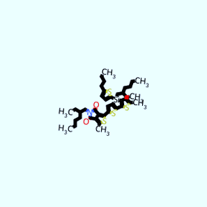 CCCCc1ccc([Si]2(CC(CC)CCCC)c3cc(C)sc3-c3sc(-c4sc(C)c5c4C(=O)N(CC(CC)CCCC)C5=O)cc32)s1